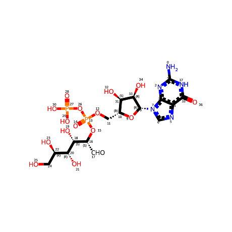 Nc1nc2c(ncn2[C@@H]2O[C@H](COP(=O)(O[C@H](C=O)[C@@H](O)[C@H](O)[C@H](O)CO)OP(=O)(O)O)[C@@H](O)[C@H]2O)c(=O)[nH]1